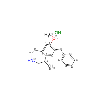 COc1cc2c(cc1Cc1ccccc1)C(C)CNCC2.Cl